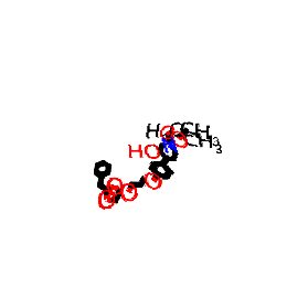 CC(C)(C)OC(=O)N1CCC(c2ccc(OCCCOC3=COC(Cc4ccccc4)O3)cc2)C(O)C1